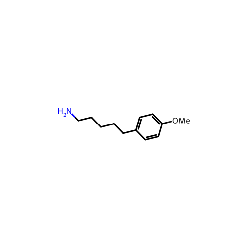 COc1ccc(CCCCCN)cc1